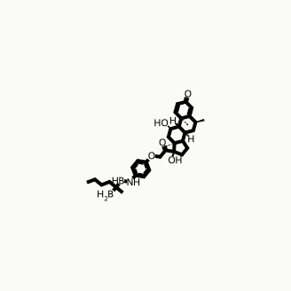 BC(C)(BNc1ccc(OCC(=O)[C@@]2(O)CCC3[C@@H]4C[C@H](C)C5=CC(=O)C=C[C@]5(C)[C@H]4[C@@H](O)C[C@@]32C)cc1)CCCC